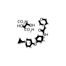 O=C(CN1CCOCC1)Nc1ccc(OC2CCN(C3CC3)CC2)cc1.O=C(O)C(O)C(O)C(=O)O